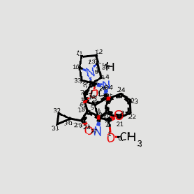 COC(=O)Cc1ccc(N2C3CC[C@H]2CC(OCc2c(-c4ccccc4C)noc2C2CC2)C3)nc1